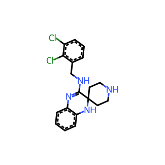 Clc1cccc(CNC2=Nc3ccccc3NC23CCNCC3)c1Cl